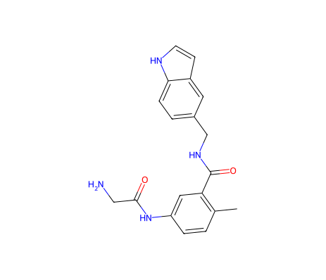 Cc1ccc(NC(=O)CN)cc1C(=O)NCc1ccc2[nH]ccc2c1